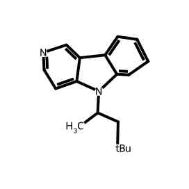 CC(CC(C)(C)C)n1c2ccccc2c2cnccc21